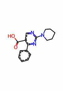 O=C(O)c1cnc(N2CCCCC2)nc1-c1ccccc1